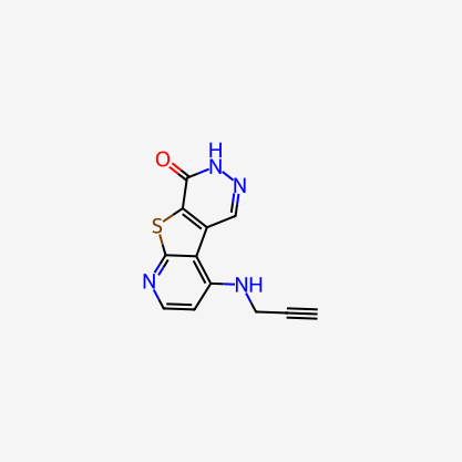 C#CCNc1ccnc2sc3c(=O)[nH]ncc3c12